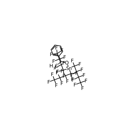 CC([O][Sn]([C](F)(F)C(F)(F)C(F)(F)C(F)(F)F)([C](F)(F)C(F)(F)C(F)(F)C(F)(F)F)[C](F)(F)C(F)(F)C(F)(F)C(F)(F)F)c1ccccc1